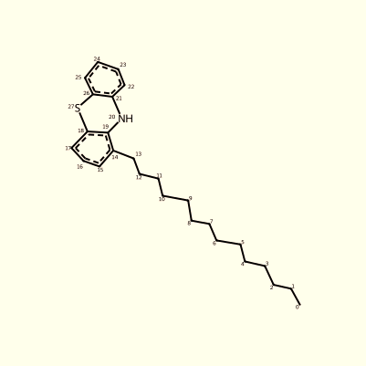 CCCCCCCCCCCCCCc1cccc2c1Nc1ccccc1S2